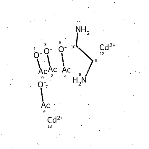 CC(=O)[O-].CC(=O)[O-].CC(=O)[O-].CC(=O)[O-].NCCN.[Cd+2].[Cd+2]